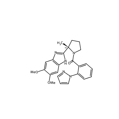 COc1cc2nc([C@]3(C)CCCN3C(=O)c3ccccc3-n3cccn3)[nH]c2cc1OC